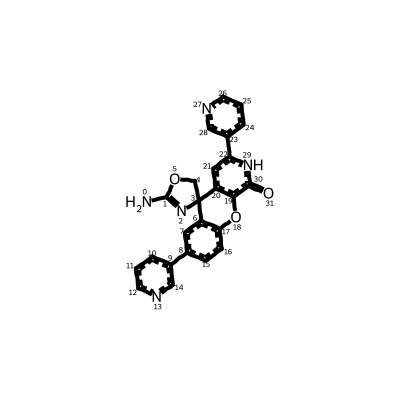 NC1=NC2(CO1)c1cc(-c3cccnc3)ccc1Oc1c2cc(-c2cccnc2)[nH]c1=O